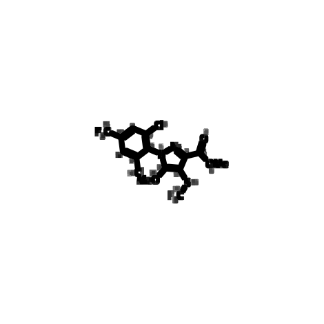 COC(=O)c1nn(-c2c(Cl)cc(C(F)(F)F)cc2Cl)c(OC)c1SC(F)(F)F